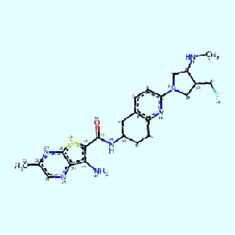 CNC1CN(c2ccc3c(n2)CCC(NC(=O)c2sc4nc(C)cnc4c2N)C3)CC1CF